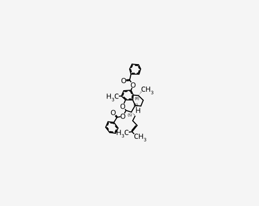 CC(C)=CCC[C@@H]1C(OC(=O)c2ccccc2)Oc2c(C)cc(OC(=O)c3ccccc3)c3c2[C@H]1CC[C@H]3C